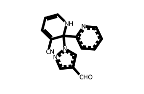 N#CC1=CC=CNC1(c1ccccn1)n1cc(C=O)cn1